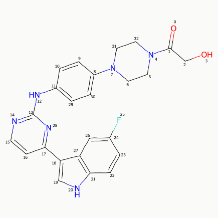 O=C(CO)N1CCN(c2ccc(Nc3nccc(-c4c[nH]c5ccc(F)cc45)n3)cc2)CC1